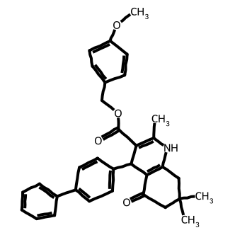 COc1ccc(COC(=O)C2=C(C)NC3=C(C(=O)CC(C)(C)C3)C2c2ccc(-c3ccccc3)cc2)cc1